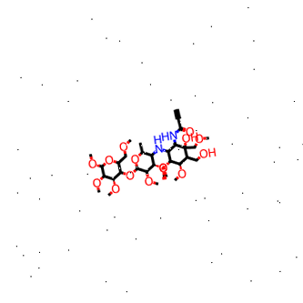 C#CC(=O)NC1C(NC2C(C)OC(OC3C(COC)OC(OC)C(OC)[C@@H]3OC)C(OC)[C@@H]2OC)C(OC)[C@H](OC)C(CO)C1(O)COC